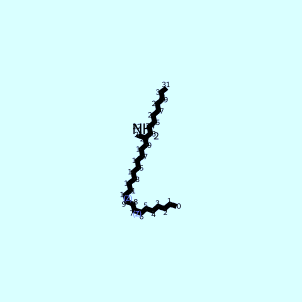 CCCCCC/C=C\C/C=C\CCCCCCCCCC(CN)CCCCCCCCC